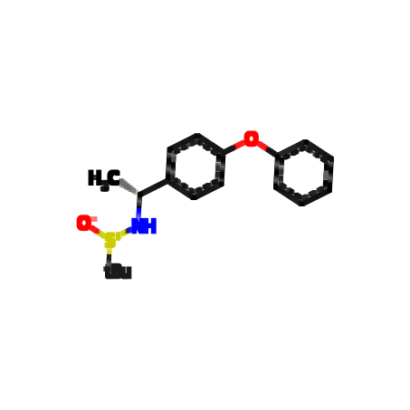 C[C@@H](N[S+]([O-])C(C)(C)C)c1ccc(Oc2ccccc2)cc1